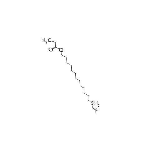 C=CC(=O)OCCCCCCCCCCCCC[SiH2]CF